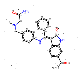 COC(=O)c1ccc2c(c1)NC(=O)C2=C(Nc1ccc(CN(C)CC(N)=O)cc1)c1ccccc1